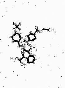 CCOC(=O)c1ccc(S(=O)(=O)N(Cc2ccc(OC(F)(F)F)cc2)c2nc(C(C)O)c3ccccc3c2C)cc1